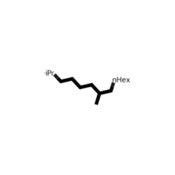 CCCCCCCC(C)CCCC[C](C)C